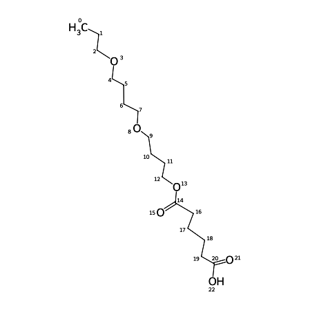 CCCOCCCCOCCCCOC(=O)CCCCC(=O)O